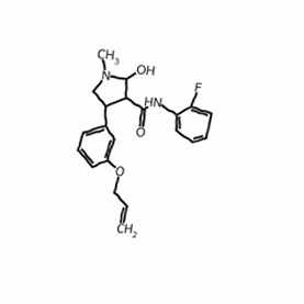 C=CCOc1cccc(C2CN(C)C(O)C2C(=O)Nc2ccccc2F)c1